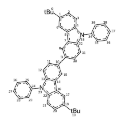 CC(C)(C)c1ccc2c(c1)c1cc(-c3ccc4c(c3)c3cc(C(C)(C)C)ccc3n4-c3ccccc3)ccc1n2-c1ccccc1